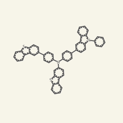 c1ccc(-n2c3ccccc3c3cc(-c4ccc(N(c5ccc(-c6ccc7sc8ccccc8c7c6)cc5)c5ccc6c(c5)sc5ccccc56)cc4)ccc32)cc1